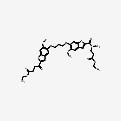 CCOC(=O)CCC(=O)c1cc2cc(OCCCOc3cc4sc(C(=O)N(C)CCC(=O)OCC)cc4cc3OC)c(OC)cc2s1